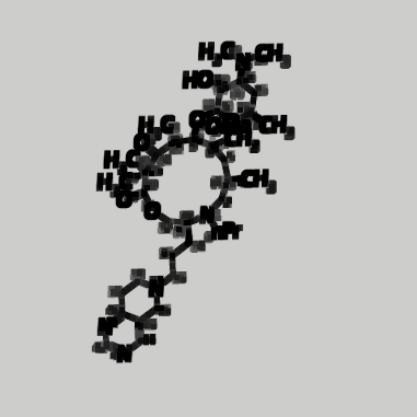 CCCN1C[C@H](C)C[C@@](C)(OC)[C@H](O[C@@H]2O[C@H](C)C[C@H](N(C)C)[C@H]2O)[C@@H](C)C(=O)C(C)(C)C(=O)OC[C@@H]1CCCN1CCc2ncncc2C1